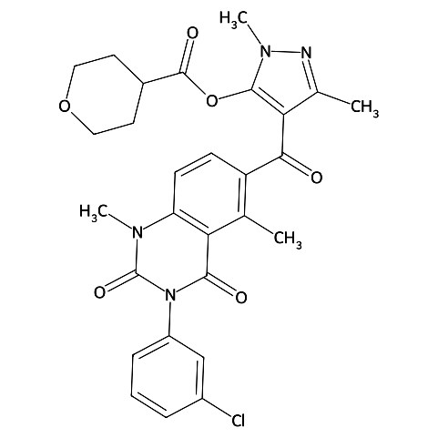 Cc1nn(C)c(OC(=O)C2CCOCC2)c1C(=O)c1ccc2c(c1C)c(=O)n(-c1cccc(Cl)c1)c(=O)n2C